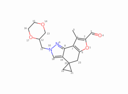 Cc1c(C=O)oc2c1-c1nn(CC3COCCO3)cc1C1(CC1)C2